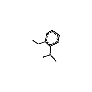 CCc1ccccc1B(C)C